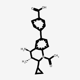 CC(=O)N1c2ccc(-c3ccc(C(=O)O)cc3)cc2[C@H](N)[C@@H](C)C1C1CC1